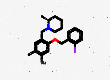 Cc1cc(CN2CCCC[C@H]2C)c(OCc2ccccc2I)cc1C(C)(C)C